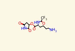 NCCCC[C@H](NC(=O)C(F)(F)F)C(=O)OC1CC(=O)NC1=O